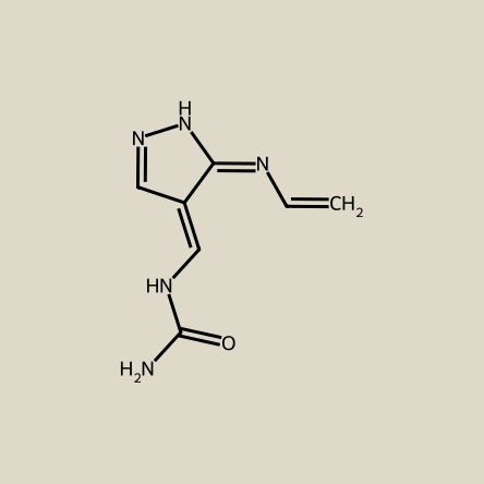 C=C/N=C1/NN=C/C1=C\NC(N)=O